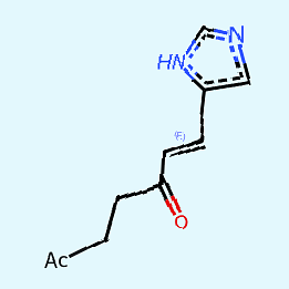 CC(=O)CCC(=O)/C=C/c1cnc[nH]1